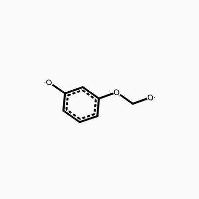 [O]COc1cccc([O])c1